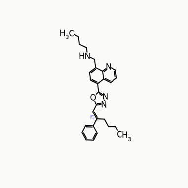 CCCCNCc1ccc(-c2nnc(/C=C(\CCCC)c3ccccc3)o2)c2cccnc12